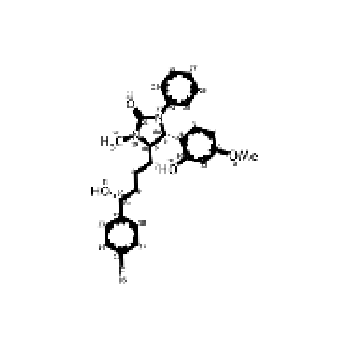 COc1ccc([C@@H]2[C@@H](CCC[C@@H](O)c3ccc(F)cc3)N(C)C(=O)N2c2ccccc2)c(O)c1